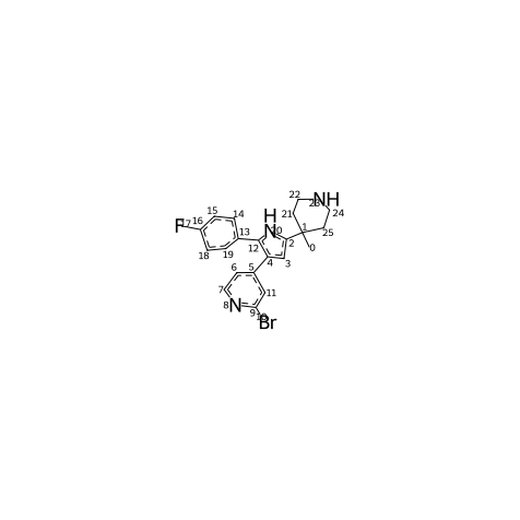 CC1(c2cc(-c3ccnc(Br)c3)c(-c3ccc(F)cc3)[nH]2)CCNCC1